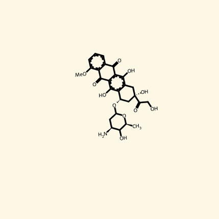 COc1cccc2c1C(=O)c1c(O)c3c(c(O)c1C2=O)C[C@@](O)(C(=O)CO)C[C@@H]3OC1C[C@H](N)C(O)[C@H](C)O1